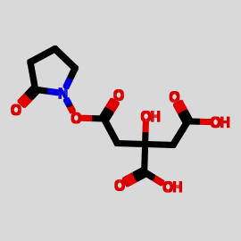 O=C(O)CC(O)(CC(=O)ON1CCCC1=O)C(=O)O